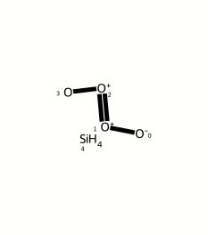 [O-][O+]=[O+][O-].[SiH4]